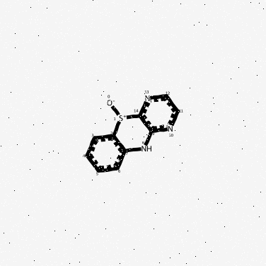 [O-][S+]1c2ccccc2Nc2nccnc21